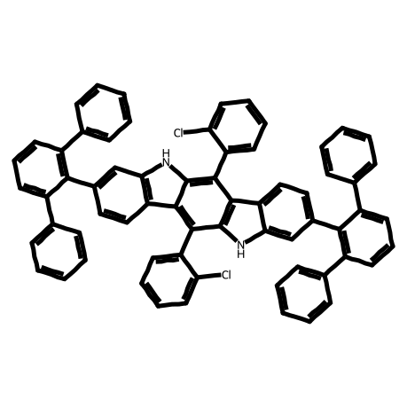 Clc1ccccc1-c1c2[nH]c3cc(-c4c(-c5ccccc5)cccc4-c4ccccc4)ccc3c2c(-c2ccccc2Cl)c2[nH]c3cc(-c4c(-c5ccccc5)cccc4-c4ccccc4)ccc3c12